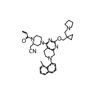 C=CC(=O)N1CCN(c2nc(OCC3(CN4CCCC4)CC3)nc3c2CCN(c2cccc4cccc(C)c24)C3)CC1CC#N